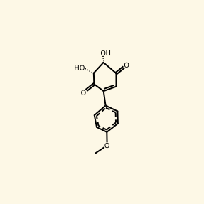 COc1ccc(C2=CC(=O)[C@@H](O)[C@@H](O)C2=O)cc1